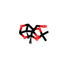 CC1(C)OC2C3OC(O[C@@H]2O1)[C@@H]3C(O)CO